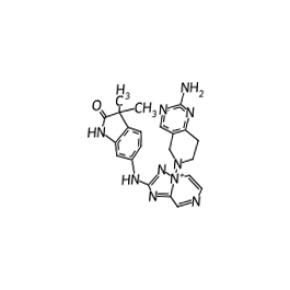 CC1(C)C(=O)Nc2cc(NC3=N[N+]4(N5CCc6nc(N)ncc6C5)C=CN=CC4=N3)ccc21